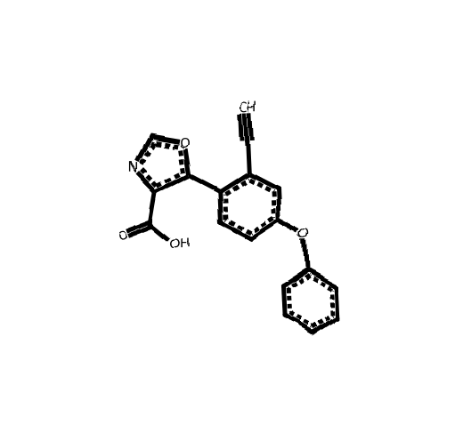 C#Cc1cc(Oc2ccccc2)ccc1-c1ocnc1C(=O)O